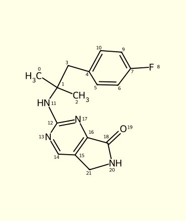 CC(C)(Cc1ccc(F)cc1)Nc1ncc2c(n1)C(=O)NC2